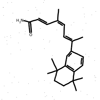 CC(C=CC(N)=O)=CC=C(C)c1ccc2c(c1)C(C)(C)CCC2(C)C